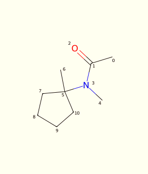 CC(=O)N(C)C1(C)CCCC1